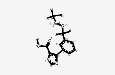 COC(=O)c1ncoc1-c1cccc(C(C)(C)O[SiH2]C(C)(C)C)c1